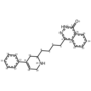 O=c1[nH]nc(CCCCC2CC(c3ccccc3)=CCN2)c2ccccc12